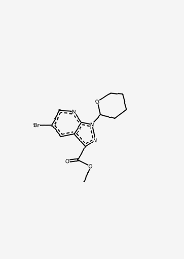 COC(=O)c1nn(C2CCCCO2)c2ncc(Br)cc12